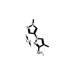 Cc1cn(-c2cnn(C)c2)nc1N.[I][Cu][I]